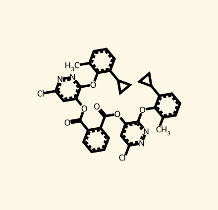 Cc1cccc(C2CC2)c1Oc1nnc(Cl)cc1OC(=O)c1ccccc1C(=O)Oc1cc(Cl)nnc1Oc1c(C)cccc1C1CC1